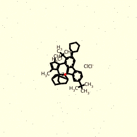 CC1=CC(C)C(c2c(C(C)(C)C)c(=C3CCCCC3)cc3c2=[C]([Zr+2])c2cc(C(C)(C)C)ccc2-3)=C1C12CC3CC(CC(C3)C1)C2.[Cl-].[Cl-]